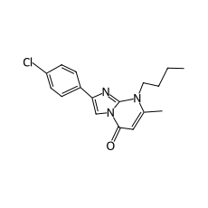 CCCCn1c(C)cc(=O)n2cc(-c3ccc(Cl)cc3)nc12